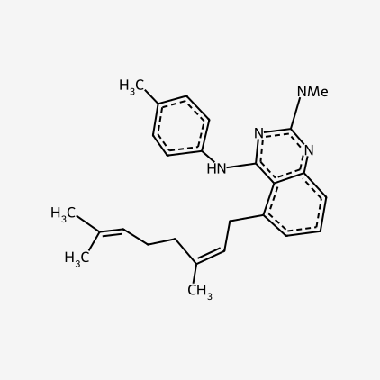 CNc1nc(Nc2ccc(C)cc2)c2c(CC=C(C)CCC=C(C)C)cccc2n1